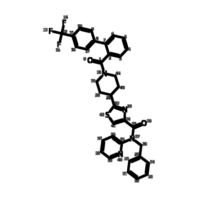 O=C(c1ccccc1-c1ccc(C(F)(F)F)cc1)N1CCC(c2nc(C(=O)N(Cc3ccccc3)c3ccccn3)cs2)CC1